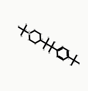 CC(C)(C)c1ccc(C(C)(C)C(C)(C)C2CCN(C(C)(C)C)CC2)cc1